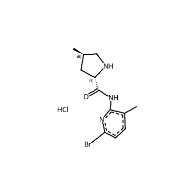 Cc1ccc(Br)nc1NC(=O)[C@@H]1C[C@@H](C)CN1.Cl